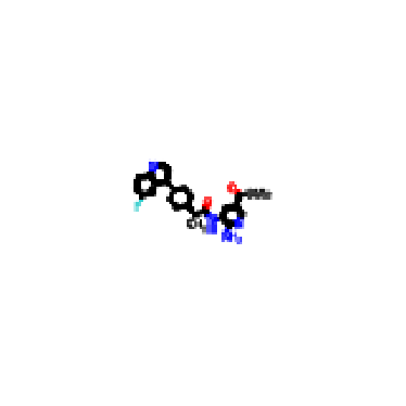 COC(=O)c1cnc(N)c(NC(=O)[C@H](C)C2CCC(c3ccnc4ccc(F)cc34)CC2)c1